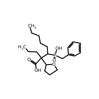 CCCCCC(C(CCC)(C(=O)O)C1CCCO1)P(=O)(O)Cc1ccccc1